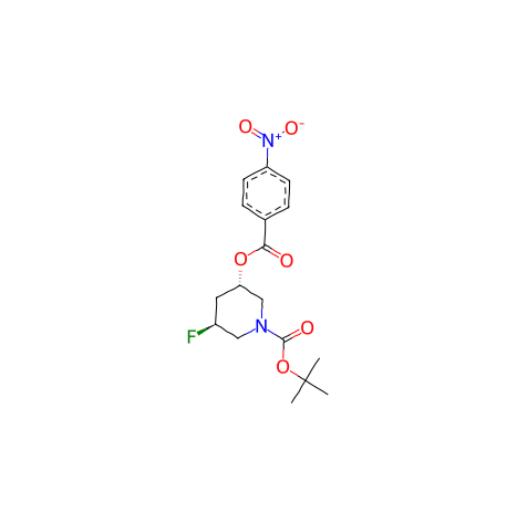 CC(C)(C)OC(=O)N1C[C@@H](F)C[C@H](OC(=O)c2ccc([N+](=O)[O-])cc2)C1